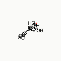 C[SiH](C)OC(c1c(CO)ccc2c(CCC3CCN(C(=O)OC(C)(C)C)CC3)noc12)C(C)(C)C